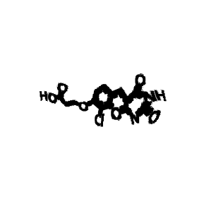 O=C(O)CCOc1ccc2cc3c(=O)[nH]c(=O)nc-3oc2c1Cl